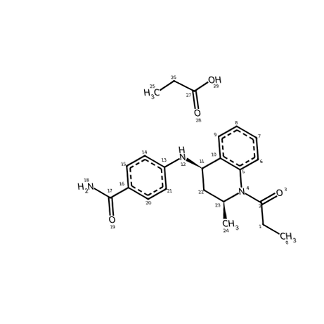 CCC(=O)N1c2ccccc2[C@H](Nc2ccc(C(N)=O)cc2)C[C@@H]1C.CCC(=O)O